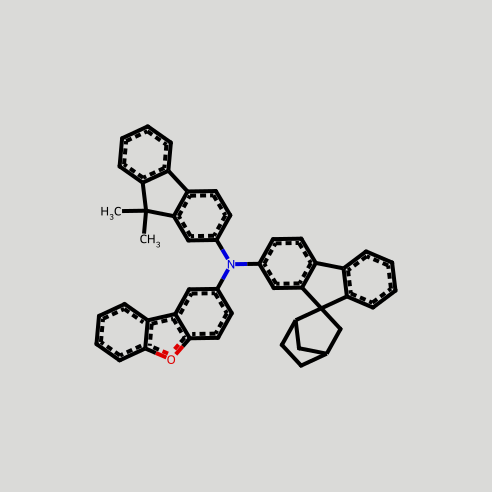 CC1(C)c2ccccc2-c2ccc(N(c3ccc4c(c3)C3(CC5CCC3C5)c3ccccc3-4)c3ccc4oc5ccccc5c4c3)cc21